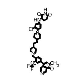 Cn1cc(-c2ccc(CN3CCC(CCC4CCN(c5ccc(NC6CCC(=O)NC6=O)cc5Cl)CC4)CC3)c(OC(F)(F)F)c2)c2ccncc2c1=O